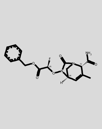 CC1=C[C@@H]2CN(C(=O)N2O[C@H](F)C(=O)OCc2ccccc2)[C@@H]1C(N)=O